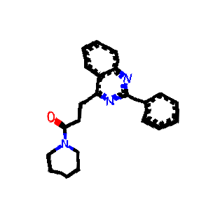 O=C(CCc1nc(-c2ccccc2)nc2ccccc12)N1CCCCC1